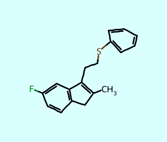 CC1=C(CCSc2ccccc2)c2cc(F)ccc2C1